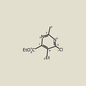 CCOC(=O)c1nc(C)nc(Cl)c1CC